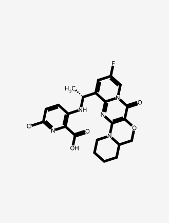 C[C@@H](Nc1ccc(Cl)nc1C(=O)O)c1cc(F)cn2c(=O)c3c(nc12)N1CCCCC1CO3